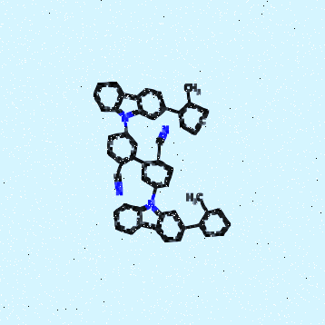 Cc1ccccc1-c1ccc2c3ccccc3n(-c3ccc(C#N)c(-c4cc(-n5c6ccccc6c6ccc(-c7ccccc7C)cc65)ccc4C#N)c3)c2c1